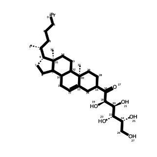 CC(C)CCC[C@@H](C)[C@H]1CCC2C3CC=C4CC(C(=O)[C@H](O)[C@@H](O)[C@@H](O)[C@H](O)CO)CC[C@]4(C)C3CC[C@@]21C